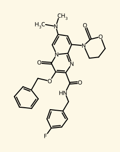 CN(C)c1cc(N2CCCOC2=O)c2nc(C(=O)NCc3ccc(F)cc3)c(OCc3ccccc3)c(=O)n2c1